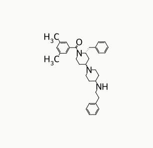 Cc1cc(C)cc(C(=O)N2CC[C@H](N3CCC(NCCc4ccccc4)CC3)C[C@H]2Cc2ccccc2)c1